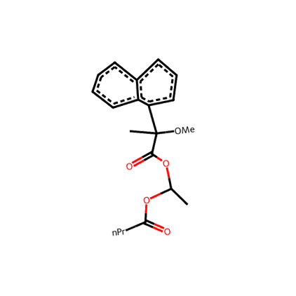 CCCC(=O)OC(C)OC(=O)C(C)(OC)c1cccc2ccccc12